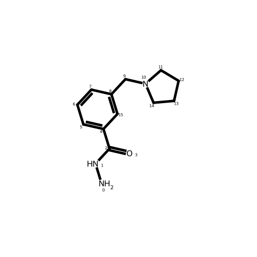 NNC(=O)c1cccc(CN2CCCC2)c1